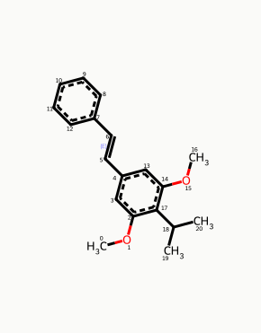 COc1cc(/C=C/c2ccccc2)cc(OC)c1C(C)C